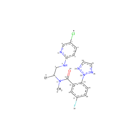 CCC(CNc1ccc(Cl)cn1)N(C)C(=O)c1cc(F)ccc1-n1nccn1